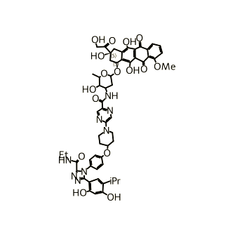 CCNC(=O)c1nnc(-c2cc(C(C)C)c(O)cc2O)n1-c1ccc(OC2CCN(c3cnc(C(=O)NC4CC(O[C@H]5C[C@](O)(C(=O)CO)Cc6c(O)c7c(c(O)c65)C(=O)c5c(OC)cccc5C7=O)OC(C)C4O)cn3)CC2)cc1